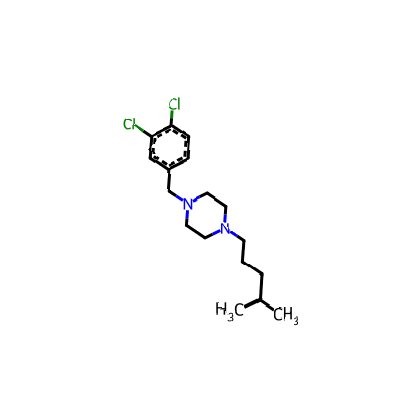 CC(C)CCCN1CCN(Cc2ccc(Cl)c(Cl)c2)CC1